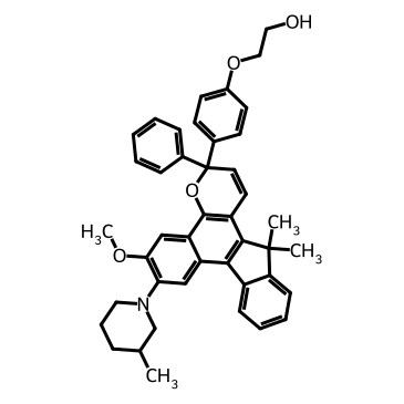 COc1cc2c3c(c4c(c2cc1N1CCCC(C)C1)-c1ccccc1C4(C)C)C=CC(c1ccccc1)(c1ccc(OCCO)cc1)O3